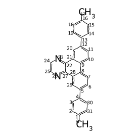 Cc1ccc(-c2ccc3c4ccc(-c5ccc(C)cc5)cc4c4nccnc4c3c2)cc1